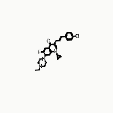 CCN1CCN(c2cc3c(cc2F)c(=O)c(C/C=C/c2ccc(Cl)cc2)cn3C2CC2)CC1